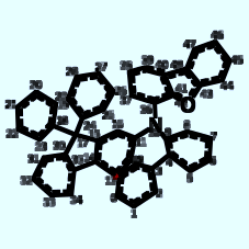 c1ccc(-c2ccccc2N(c2ccc3c(c2)C(c2ccccc2)(c2ccccc2)c2ccccc2-3)c2cccc3c2oc2ccccc23)cc1